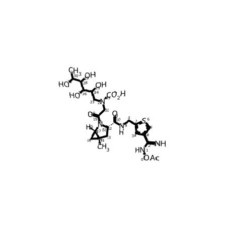 CC(=O)ONC(=N)c1csc(CNC(=O)[C@@H]2C[C@]3(C)C[C@@H]3N2C(=O)CN(CC(O)C(O)C(O)C(C)O)C(=O)O)c1